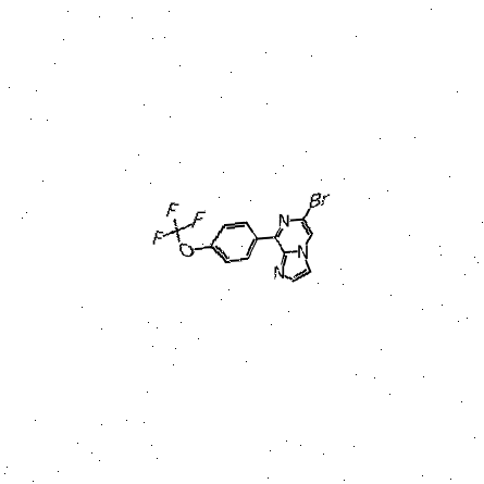 FC(F)(F)Oc1ccc(-c2nc(Br)cn3ccnc23)cc1